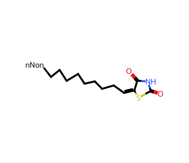 CCCCCCCCCCCCCCCCC/C=C1/SC(=O)NC1=O